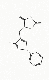 O=C1NC(=O)C(Cc2cn(-c3ccccc3)nc2O)S1